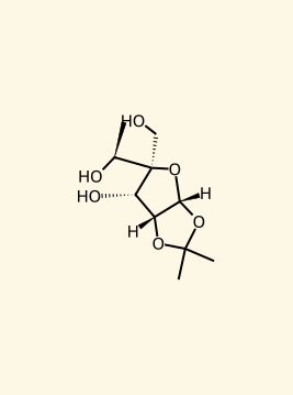 C[C@H](O)[C@@]1(CO)O[C@@H]2OC(C)(C)O[C@@H]2[C@@H]1O